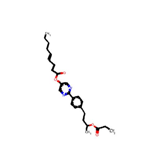 CCCCC=CCCC(=O)Oc1cnc(-c2ccc(CCC(C)OC(=O)CC)cc2)nc1